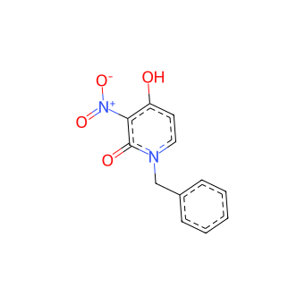 O=c1c([N+](=O)[O-])c(O)ccn1Cc1ccccc1